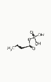 C/C=C/C(=O)OP(=O)(O)O